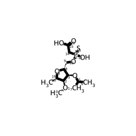 CO[C@@H]1[C@H](OC(C)C)[C@@H](COP(O)(=S)CC(=O)O)O[C@H]1C